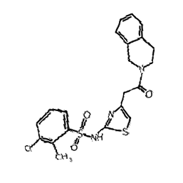 Cc1c(Cl)cccc1S(=O)(=O)Nc1nc(CC(=O)N2CCc3ccccc3C2)cs1